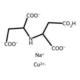 O=C([O-])CC(NC(CC(=O)O)C(=O)[O-])C(=O)[O-].[Cu+2].[Na+]